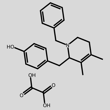 CC1=C(C)C(Cc2ccc(O)cc2)N(Cc2ccccc2)CC1.O=C(O)C(=O)O